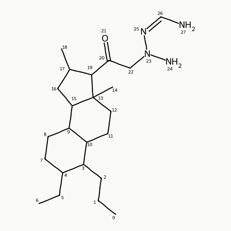 CCCC1C(CC)CCC2C1CCC1(C)C2CC(C)C1C(=O)CN(N)/N=C\N